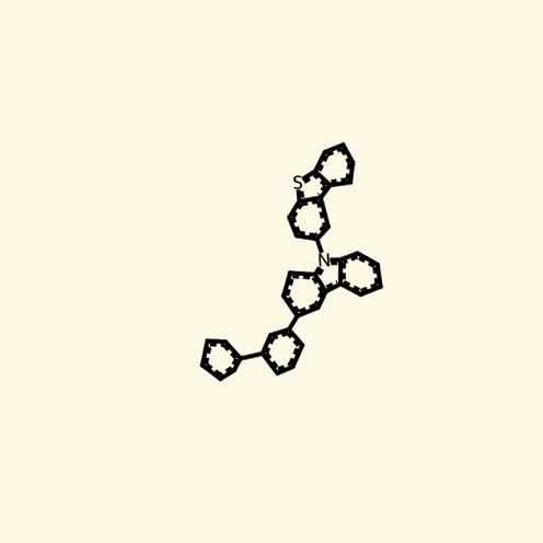 c1ccc(-c2cccc(-c3ccc4c(c3)c3ccccc3n4-c3ccc4sc5ccccc5c4c3)c2)cc1